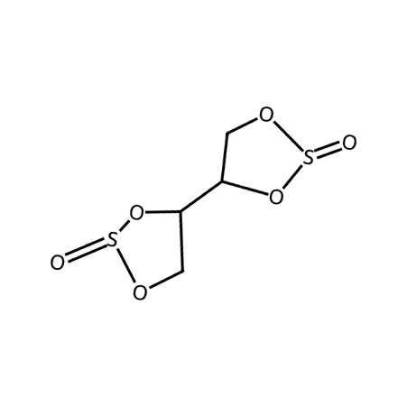 O=S1OCC(C2COS(=O)O2)O1